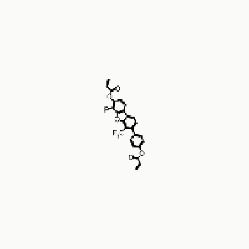 C=CC(=O)Oc1ccc(-c2ccc3c(oc4c(F)c(OC(=O)C=C)ccc43)c2C(F)(F)F)cc1